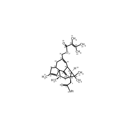 CCCC(=O)C[C@@]12C[C@@H](C)C34C=C(C)CC3CC(COC(=O)C(C)=C(C)C)=CC(C4=O)[C@H]1C2(C)C